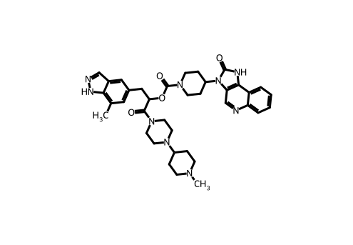 Cc1cc(CC(OC(=O)N2CCC(n3c(=O)[nH]c4c5ccccc5ncc43)CC2)C(=O)N2CCN(C3CCN(C)CC3)CC2)cc2cn[nH]c12